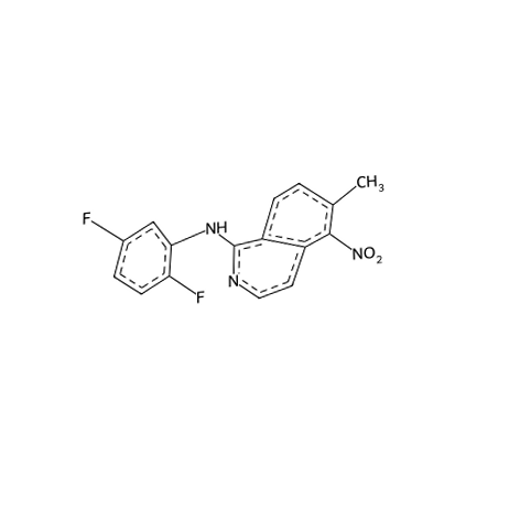 Cc1ccc2c(Nc3cc(F)ccc3F)nccc2c1[N+](=O)[O-]